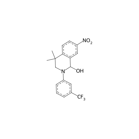 CC1(C)CN(c2cccc(C(F)(F)F)c2)C(O)c2cc([N+](=O)[O-])ccc21